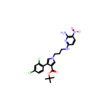 CC(C)(C)OC(=O)c1cn(CCCNc2ccc([N+](=O)[O-])c(N)n2)cc1-c1ccc(Cl)cc1F